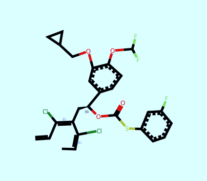 C=C/C(Cl)=C(C[C@H](OC(=O)Sc1cccc(F)c1)c1ccc(OC(F)F)c(OCC2CC2)c1)\C(Cl)=C/C